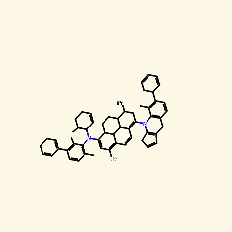 Cc1ccc(C2=CCCC=C2)c(C)c1N(C1=CC(C(C)C)=C2C=CC3=C(N4C5=C(C=CC5)Cc5ccc(C6C=CC=CC6)c(C)c54)CC(C(C)C)C4CCC1C2C34)C1C=CCCC1C